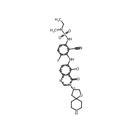 CCN(C)S(=O)(=O)Nc1ccc(F)c(Nc2ccc3ncn([C@H]4COC5(CCNCC5)C4)c(=O)c3c2Cl)c1C#N